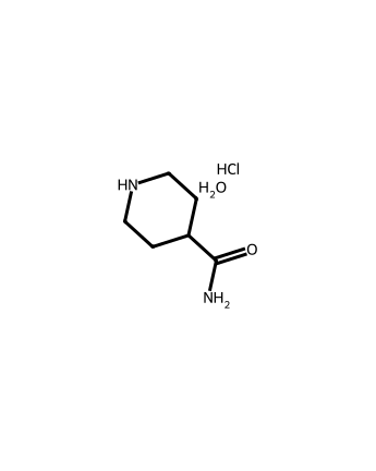 Cl.NC(=O)C1CCNCC1.O